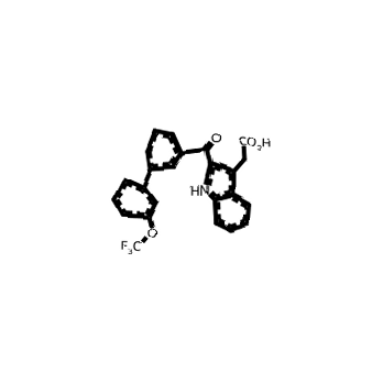 O=C(O)Cc1c(C(=O)c2cccc(-c3cccc(OC(F)(F)F)c3)c2)[nH]c2ccccc12